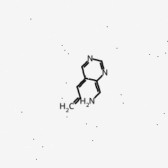 C=C/C=c1/cncn/c1=C/N